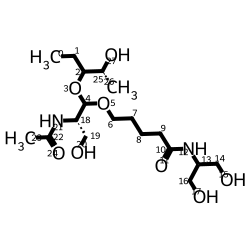 CCC(OC(OCCCCC(=O)NC(CO)CO)[C@H](CO)NC(C)=O)[C@@H](C)O